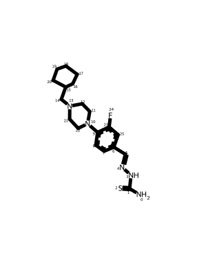 NC(=S)N/N=C/c1ccc(N2CCN(CC3CCCCC3)CC2)c(F)c1